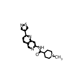 CN1CCC(C(=O)Nc2cc3nc(-c4cnsc4)ccc3cn2)CC1